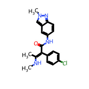 CN/C(C)=C(/C(=O)Nc1ccc2nn(C)cc2c1)c1ccc(Cl)cc1